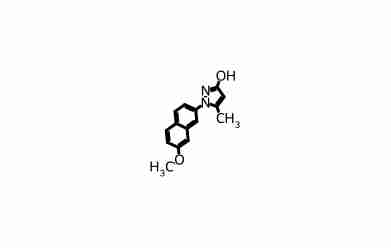 COc1ccc2ccc(-n3nc(O)cc3C)cc2c1